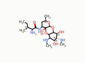 CC[C@H](C)C(N)C(=O)NC1C[C@@H](C)OC2OC3C(OC12O)C(NC)[C@@H](O)[C@@H](NC)[C@@H]3O